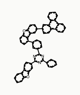 c1ccc(-c2nc(-c3cccc(-c4cccc5oc6ccc(-c7ccc8c9ccccc9c9ccccc9c8c7)cc6c45)c3)nc(-c3ccc4c(c3)oc3ccccc34)n2)cc1